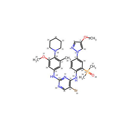 COc1cnn(-c2ccc(Nc3nc(Nc4cc(C)c(N5CCCCC5)c(OC)c4)ncc3Br)c(P(C)(C)=O)c2)c1